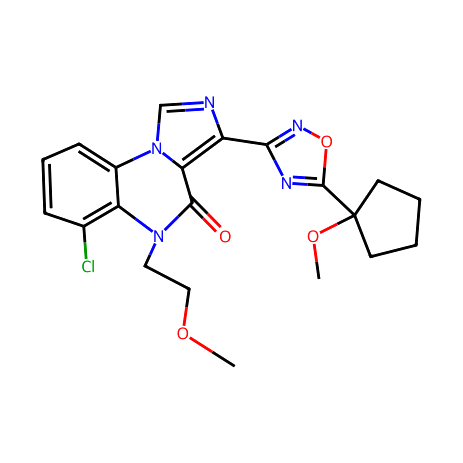 COCCn1c(=O)c2c(-c3noc(C4(OC)CCCC4)n3)ncn2c2cccc(Cl)c21